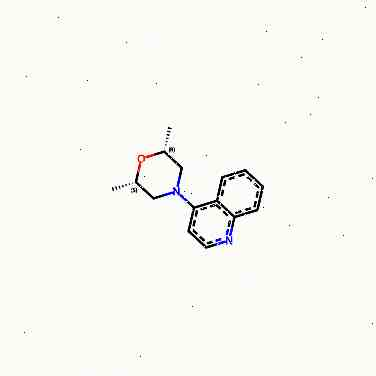 C[C@@H]1CN(c2ccnc3ccccc23)C[C@H](C)O1